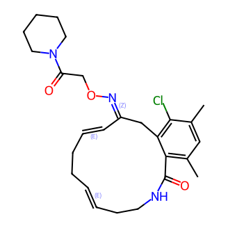 Cc1cc(C)c2c(c1Cl)CC(=N/OCC(=O)N1CCCCC1)/C=C/CC/C=C/CCNC2=O